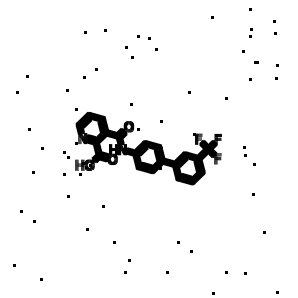 O=C(Nc1ccc(-c2cccc(C(F)(F)F)c2)cc1)c1cccnc1C(=O)O